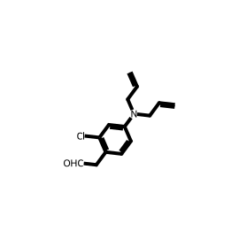 C=CCN(CC=C)c1ccc(CC=O)c(Cl)c1